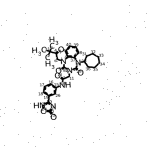 CC(C)(C)C(=O)CN1C(=O)N(CC(=O)Nc2cccc(-c3nc(=O)o[nH]3)c2)C(=O)N(C2CCCCCC2)c2ccccc21